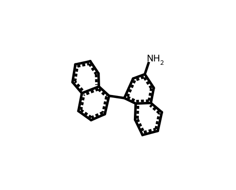 Nc1cc(-c2cccc3ccccc23)c2ccccc2c1